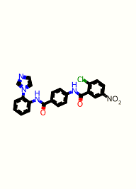 O=C(Nc1ccccc1-n1ccnc1)c1ccc(NC(=O)c2cc([N+](=O)[O-])ccc2Cl)cc1